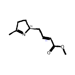 COC(=O)/C=C/C[C@@H]1CCC(C)=N1